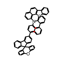 c1ccc(-c2ccccc2N(c2ccc(-c3ccc4c(c3)-c3ccccc3C43c4ccccc4Oc4ccccc43)cc2)c2cccc3ccc4c5ccccc5oc4c23)cc1